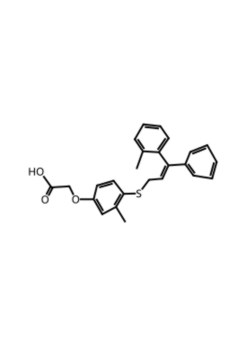 Cc1cc(OCC(=O)O)ccc1SCC=C(c1ccccc1)c1ccccc1C